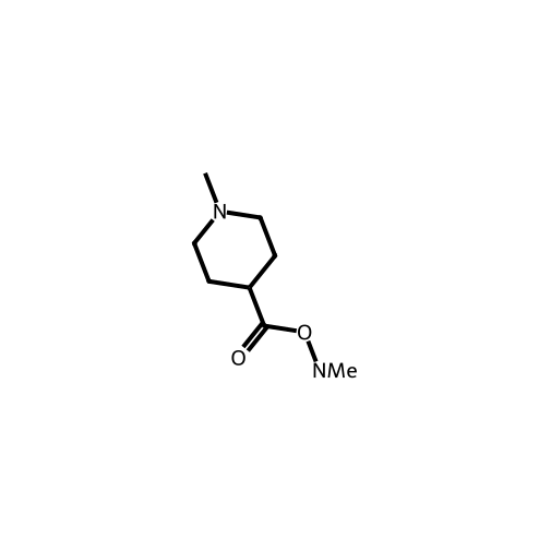 CNOC(=O)C1CCN(C)CC1